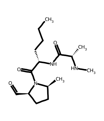 CCCC[C@H](NC(=O)[C@H](C)NC)C(=O)N1[C@H](C=O)CC[C@@H]1C